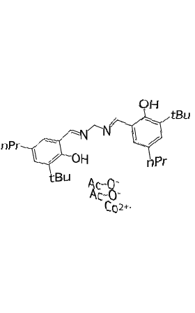 CC(=O)[O-].CC(=O)[O-].CCCc1cc(C=NCN=Cc2cc(CCC)cc(C(C)(C)C)c2O)c(O)c(C(C)(C)C)c1.[Co+2]